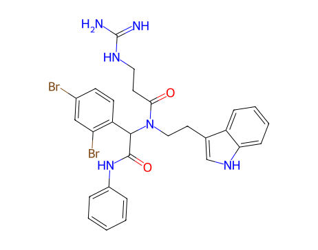 N=C(N)NCCC(=O)N(CCc1c[nH]c2ccccc12)C(C(=O)Nc1ccccc1)c1ccc(Br)cc1Br